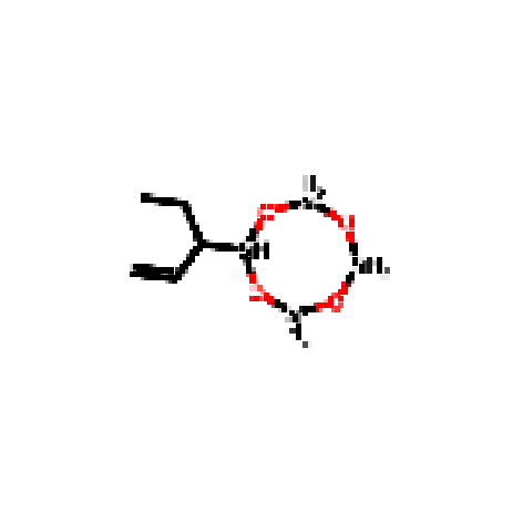 C=CC(CC)[SiH]1O[SiH2]O[SiH2]O[SiH2]O1